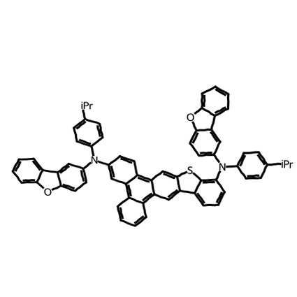 CC(C)c1ccc(N(c2ccc3oc4ccccc4c3c2)c2ccc3c(c2)c2ccccc2c2cc4c(cc32)sc2c(N(c3ccc(C(C)C)cc3)c3ccc5oc6ccccc6c5c3)cccc24)cc1